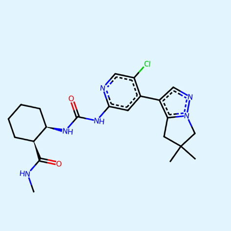 CNC(=O)[C@H]1CCCC[C@H]1NC(=O)Nc1cc(-c2cnn3c2CC(C)(C)C3)c(Cl)cn1